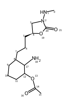 CNN1C[C@H](CCCC2CCCC(OC(C)=O)C2N)OC1=O